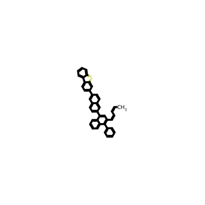 C/C=C\C=C/c1cc(-c2ccc3cc(-c4ccc5c(c4)sc4ccccc45)ccc3c2)c2ccccc2c1-c1ccccc1